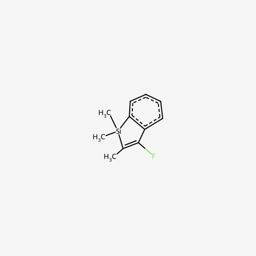 CC1=C(F)c2ccccc2[Si]1(C)C